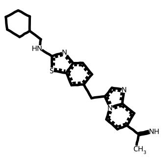 CC(=N)c1ccn2c(Cc3ccc4nc(NCC5CCCCC5)sc4c3)cnc2c1